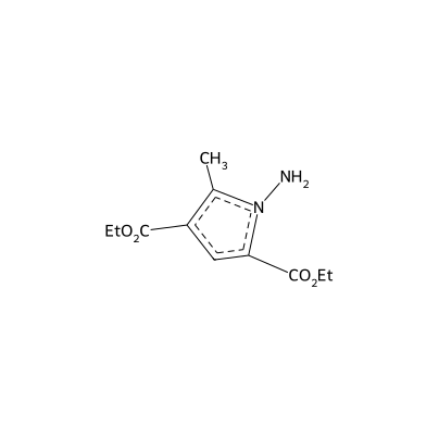 CCOC(=O)c1cc(C(=O)OCC)n(N)c1C